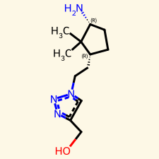 CC1(C)[C@@H](CCn2cc(CO)nn2)CC[C@H]1N